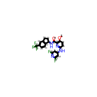 COc1ccc(Nc2cc(F)nc(F)c2)nc1C(=O)NC1CCc2cc(C(F)(F)F)ccc21